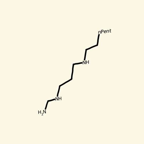 [CH2]CCCCCCNCCCNCN